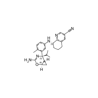 Cc1ccc(N[C@H]2CCCc3cc(C#N)cnc32)cc1[C@@]1(C(C)C)N=C(N)O[C@@H]2C[C@@H]21